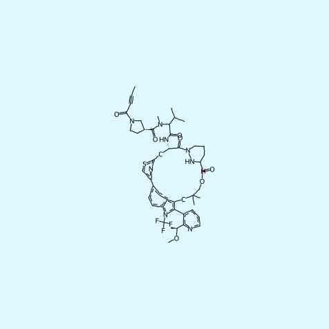 CC#CC(=O)N1CC[C@H](C(=O)N(C)C(C(=O)N[C@H]2Cc3nc(cs3)-c3ccc4c(c3)c(c(-c3cccnc3[C@H](C)OC)n4C(F)(F)F)CC(C)(C)COC(=O)[C@@H]3CCCN(N3)C2=O)C(C)C)C1